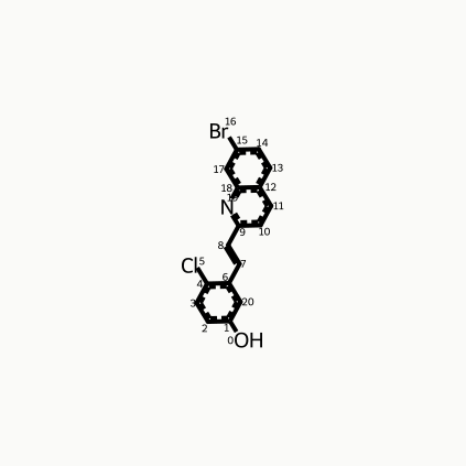 Oc1ccc(Cl)c(/C=C/c2ccc3ccc(Br)cc3n2)c1